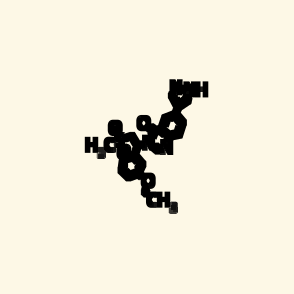 CCOc1cccc(C(CS(C)(=O)=O)n2cnc3ccc(-c4cn[nH]c4)cc3c2=O)c1